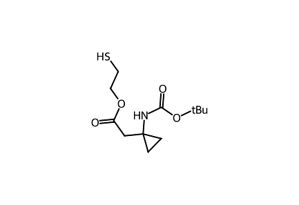 CC(C)(C)OC(=O)NC1(CC(=O)OCCS)CC1